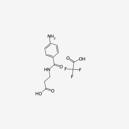 Nc1ccc(C(=O)NCCC(=O)O)cc1.O=C(O)C(F)(F)F